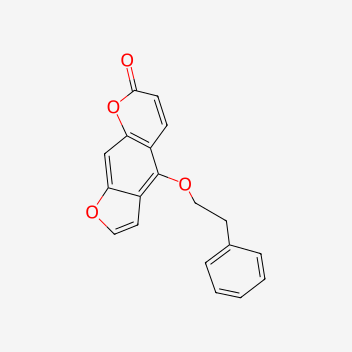 O=c1ccc2c(OCCc3ccccc3)c3ccoc3cc2o1